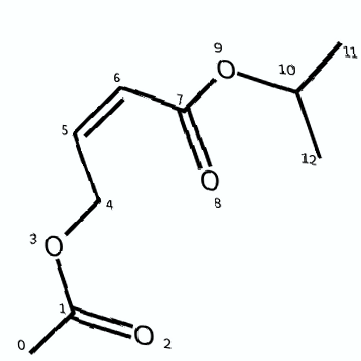 CC(=O)OC/C=C\C(=O)OC(C)C